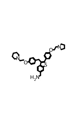 NCc1ccc2c(Cc3ccc(OCCN4CCCCC4)cc3)c(-c3ccc(OCCN4CCCC4)cc3)sc2c1